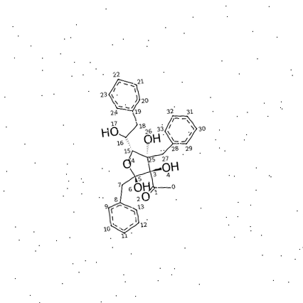 CC(=O)[C@]1(O)[C@](O)(Cc2ccccc2)O[C@H](C(O)Cc2ccccc2)[C@@]1(O)Cc1ccccc1